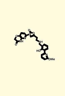 COc1cccc(-c2cccc(CNCCc3cn(-c4ccc5c(n4)NC(=O)CO5)c(=O)o3)c2O)n1